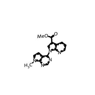 COC(=O)c1cn(-c2ncnc3c2ccn3C)c2ncccc12